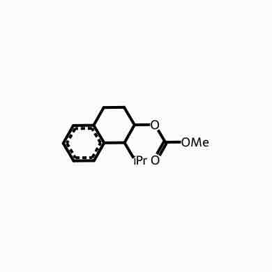 COC(=O)OC1CCc2ccccc2C1C(C)C